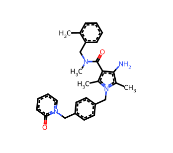 Cc1ccccc1CN(C)C(=O)c1c(N)c(C)n(Cc2ccc(Cn3ccccc3=O)cc2)c1C